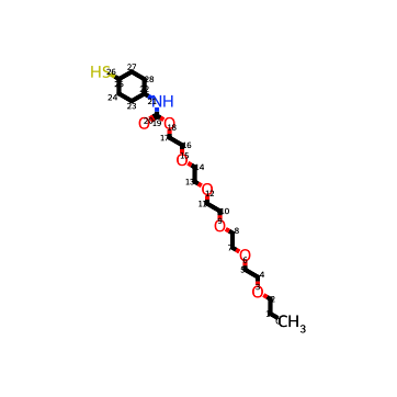 CCCOCCOCCOCCOCCOCCOC(=O)NC1CCC(S)CC1